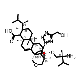 CC(C)[C@@H](C)[C@@]1(C)CC[C@]2(C)[C@H]3CC[C@@H]4[C@@]5(COC[C@]4(C)[C@@H](OC[C@](C)(N)C(C)C)[C@H](n4nnc(CO)n4)C5)C3=CC[C@@]2(C)C1C(=O)O